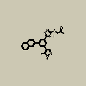 CC(=O)CSc1nnc(-c2cc(-c3ccc4ccccc4c3)cc(-c3cnn(C)c3C)c2)[nH]1